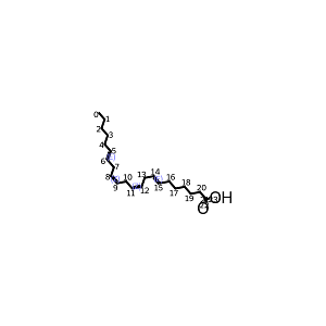 CCCCC/C=C/C/C=C\C/C=C\C/C=C/CCCCCC(=O)O